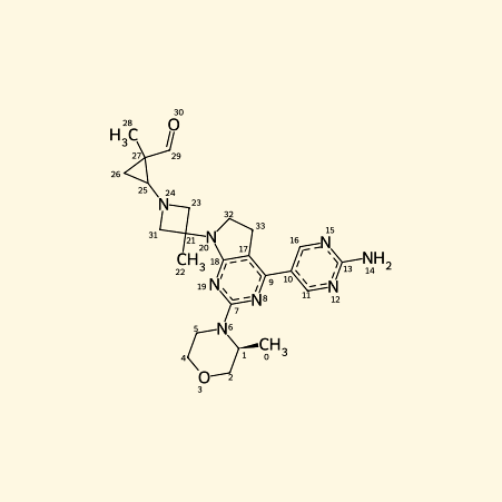 C[C@H]1COCCN1c1nc(-c2cnc(N)nc2)c2c(n1)N(C1(C)CN(C3CC3(C)C=O)C1)CC2